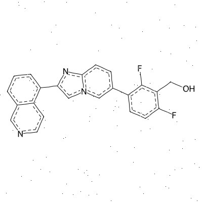 OCc1c(F)ccc(-c2ccc3nc(-c4cccc5cnccc45)cn3c2)c1F